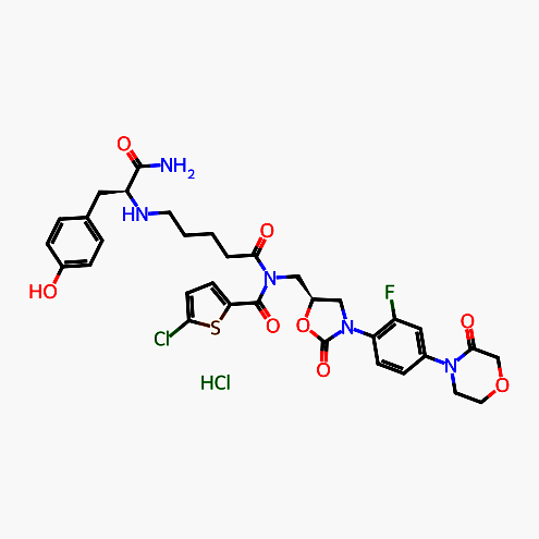 Cl.NC(=O)[C@H](Cc1ccc(O)cc1)NCCCCC(=O)N(C[C@H]1CN(c2ccc(N3CCOCC3=O)cc2F)C(=O)O1)C(=O)c1ccc(Cl)s1